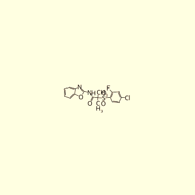 CC(C)(C(=O)Nc1nc2ccccc2o1)S(=O)(=O)c1ccc(Cl)cc1F